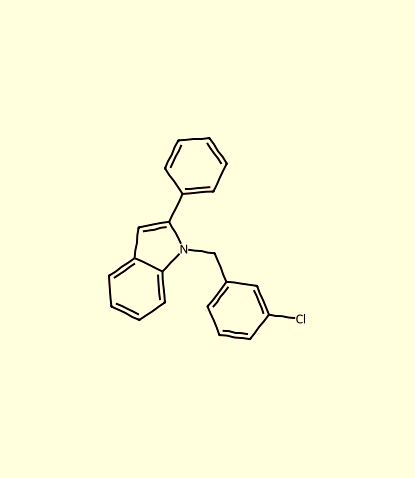 Clc1cccc(Cn2c(-c3ccccc3)cc3ccccc32)c1